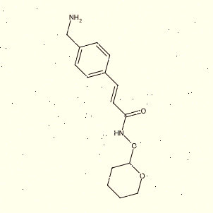 NCc1ccc(/C=C/C(=O)NOC2CCCCO2)cc1